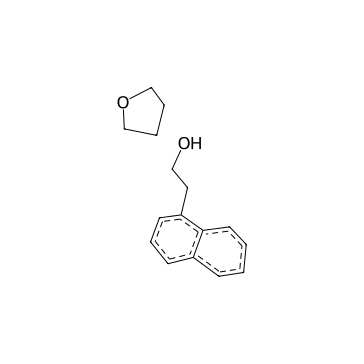 C1CCOC1.OCCc1cccc2ccccc12